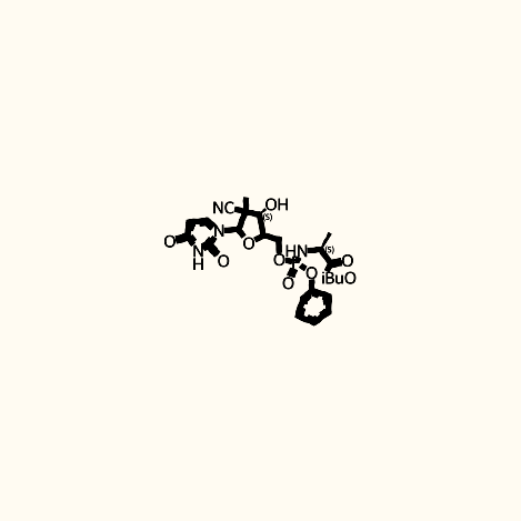 CC(C)COC(=O)[C@H](C)NP(=O)(OCC1OC(n2ccc(=O)[nH]c2=O)C(C)(C#N)[C@@H]1O)Oc1ccccc1